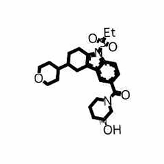 CCS(=O)(=O)n1c2c(c3cc(C(=O)N4CCC[C@@H](O)C4)ccc31)CC(C1CCOCC1)CC2